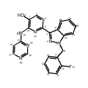 Oc1cnc(-c2nn(Cc3ccccc3F)c3ccccc23)nc1Nc1ccncn1